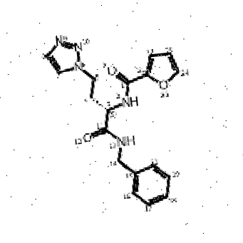 O=C(N[C@@H](CCn1ccnn1)C(=O)NCc1ccccc1)c1ccco1